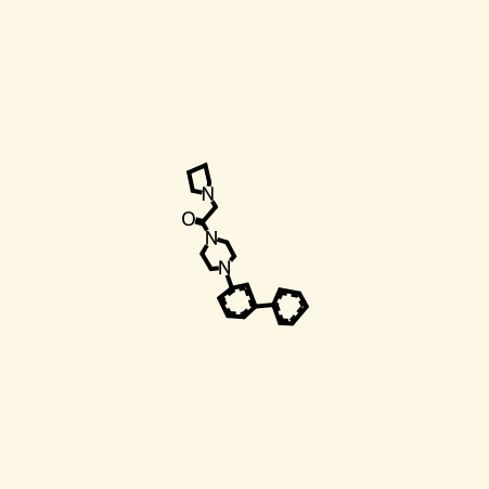 O=C(CN1CCCC1)N1CCN(c2cccc(-c3ccccc3)c2)CC1